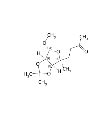 CO[C@@H]1O[C@@](C)(CCC(C)=O)[C@H]2OC(C)(C)O[C@@H]12